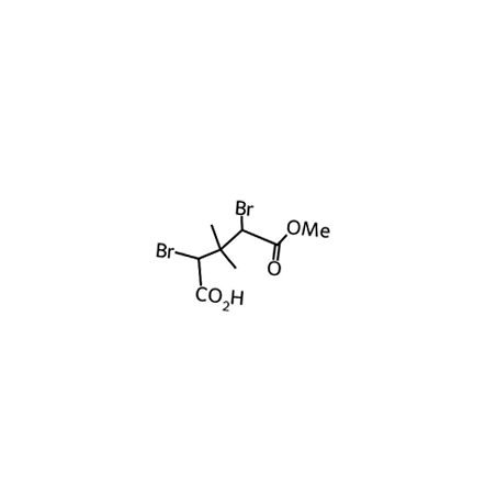 COC(=O)C(Br)C(C)(C)C(Br)C(=O)O